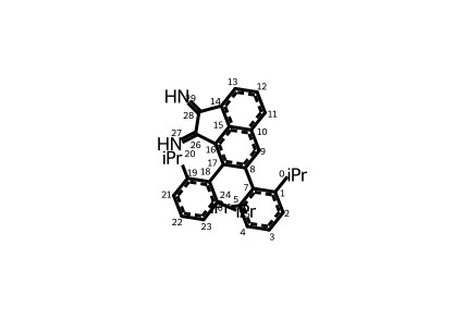 CC(C)c1cccc(C(C)C)c1-c1cc2cccc3c2c(c1-c1c(C(C)C)cccc1C(C)C)C(=N)C3=N